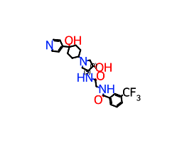 O=C(CNC(=O)c1cccc(C(F)(F)F)c1)N[C@H]1CN(C2CCC(O)(c3ccncc3)CC2)C[C@H]1O